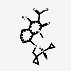 Cn1c(=O)c(C(=O)O)c(N)c2cccc(OCC3(S(=O)(=O)C4CC4)CC3)c21